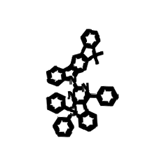 CC1(C)c2ccccc2-c2cc3c4ccccc4n(-c4nc(-c5ccccc5)c5c(n4)[Si](c4ccccc4)(c4ccccc4)c4ccccc4-5)c3cc21